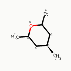 CCC1C[C@@H](C)CC(C)O1